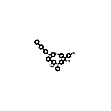 CC(C)(C)c1ccc(C(=C(C#N)c2ccc(N(c3ccccc3)c3ccc(-c4cccc5c4c4ccccc4n5-c4ccc(-c5ccc(-c6ccccc6)cc5)cc4)c4nsnc34)cc2)c2ccc(C(C)(C)C)cc2)cc1